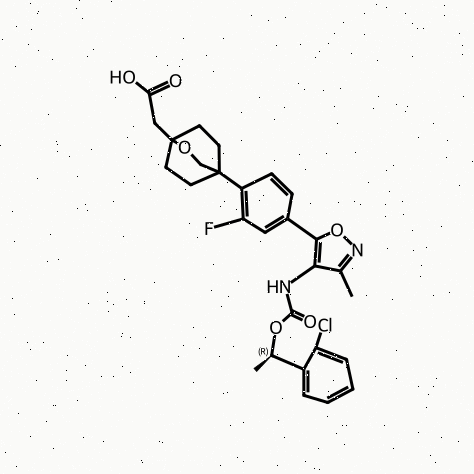 Cc1noc(-c2ccc(C34CCC(CC(=O)O)(CC3)OC4)c(F)c2)c1NC(=O)O[C@H](C)c1ccccc1Cl